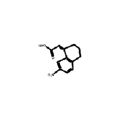 COC(=O)/C=C1/CCCc2ccc([N+](=O)[O-])cc21